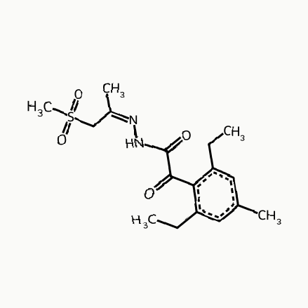 CCc1cc(C)cc(CC)c1C(=O)C(=O)NN=C(C)CS(C)(=O)=O